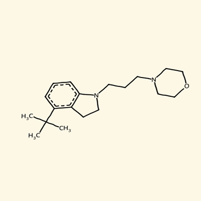 CC(C)(C)c1cccc2c1CCN2CCCN1CCOCC1